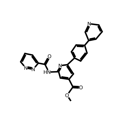 COC(=O)c1cc(NC(=O)c2cccnn2)nc(-c2ccc(-c3cccnc3)cc2)c1